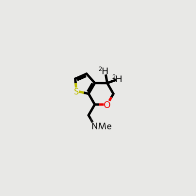 [2H]C1([2H])COC(CNC)c2sccc21